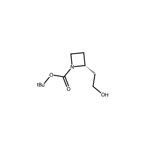 CC(C)(C)OC(=O)N1CC[C@@H]1CCO